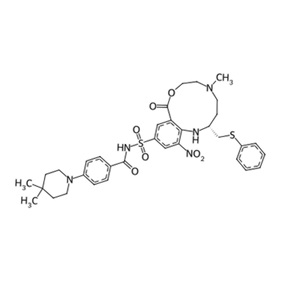 CN1CCOC(=O)c2cc(S(=O)(=O)NC(=O)c3ccc(N4CCC(C)(C)CC4)cc3)cc([N+](=O)[O-])c2N[C@@H](CSc2ccccc2)CC1